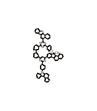 CC1(C)c2ccc(-c3cc(-c4cccc(-c5cccc(-c6nc(C7=Cc8c(sc9ccccc89)C8C=CC=CC78)nc(-c7ccccc7)n6)c5)c4)nc(-c4ccc(-n5c6ccccc6c6c7ccccc7ccc65)cc4)n3)cc2-c2ccc3ccccc3c21